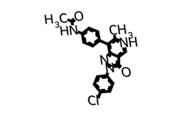 CC(=O)Nc1ccc(-c2c3nn(-c4ccc(Cl)cc4)c(=O)c-3c[nH]c2C)cc1